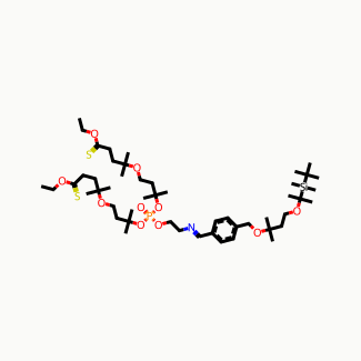 CCOC(=S)CCC(C)(C)OCCC(C)(C)OP(=O)(OCCN=Cc1ccc(COC(C)(C)CCOC(C)(C)[Si](C)(C)C(C)(C)C)cc1)OC(C)(C)CCOC(C)(C)CCC(=S)OCC